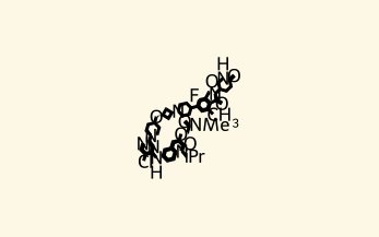 CNC(=O)COc1cc2cc(Nc3nc(N4CCC(O[C@H]5C[C@H](N6CCC(c7cc(C)c8c(c7F)CN(C7CCC(=O)NC7=O)C8=O)CC6)C5)CC4)ncc3Cl)ccc2n(C(C)C)c1=O